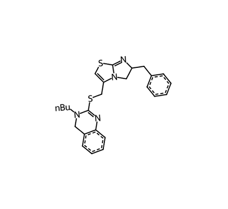 CCCCN1Cc2ccccc2N=C1SCC1=CSC2=NC(Cc3ccccc3)CN12